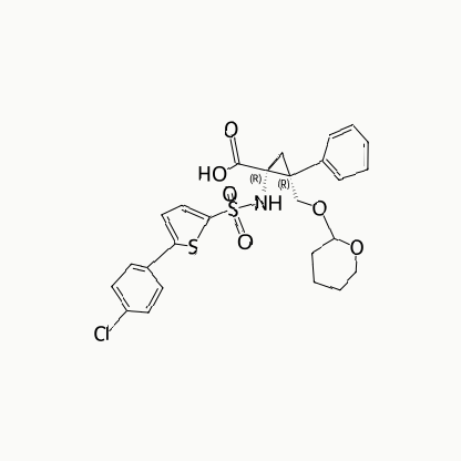 O=C(O)[C@@]1(NS(=O)(=O)c2ccc(-c3ccc(Cl)cc3)s2)C[C@@]1(COC1CCCCO1)c1ccccc1